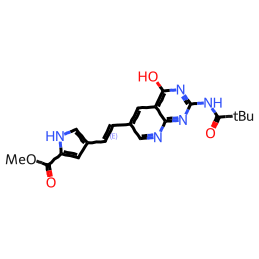 COC(=O)c1cc(/C=C/c2cnc3nc(NC(=O)C(C)(C)C)nc(O)c3c2)c[nH]1